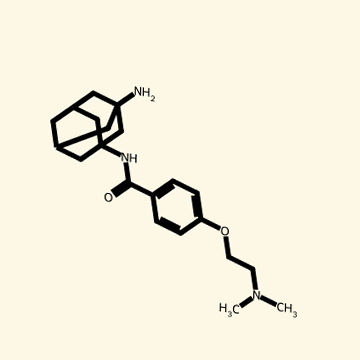 CN(C)CCOc1ccc(C(=O)NC23CC4CC(CC(N)(C4)C2)C3)cc1